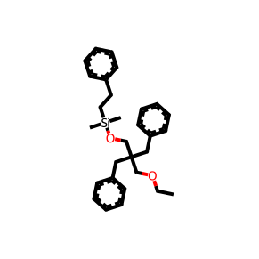 CCOCC(CO[Si](C)(C)CCc1ccccc1)(Cc1ccccc1)Cc1ccccc1